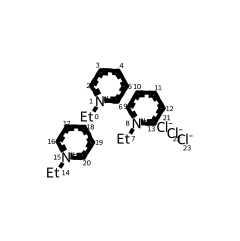 CC[n+]1ccccc1.CC[n+]1ccccc1.CC[n+]1ccccc1.[Cl-].[Cl-].[Cl-]